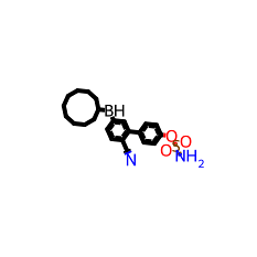 N#Cc1ccc(BC2CCCCCCCCC2)cc1-c1ccc(OS(N)(=O)=O)cc1